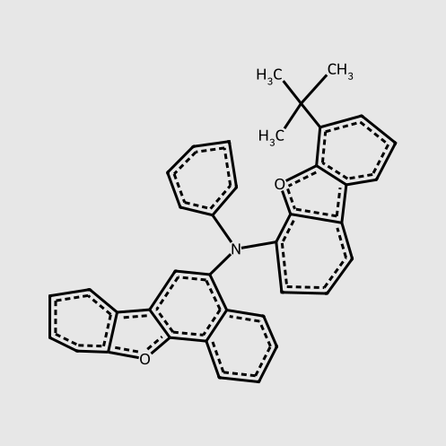 CC(C)(C)c1cccc2c1oc1c(N(c3ccccc3)c3cc4c5ccccc5oc4c4ccccc34)cccc12